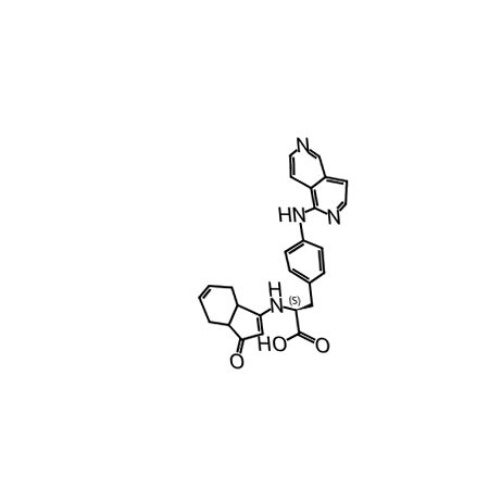 O=C1C=C(N[C@@H](Cc2ccc(Nc3nccc4cnccc34)cc2)C(=O)O)C2CC=CCC12